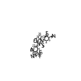 N#Cc1ccc(N2C(=S)N(c3cnc(C#N)c(C(F)(F)F)c3)C(=O)C23CCC3)cc1F